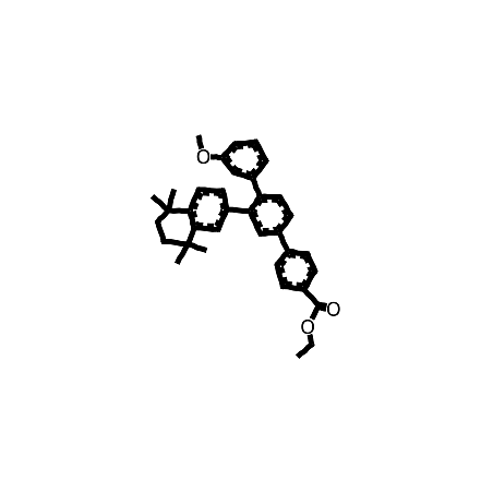 CCOC(=O)c1ccc(-c2ccc(-c3cccc(OC)c3)c(-c3ccc4c(c3)C(C)(C)CCC4(C)C)c2)cc1